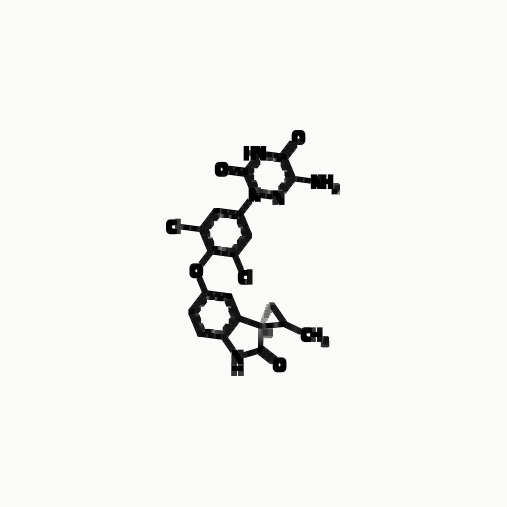 CC1C[C@@]12C(=O)Nc1ccc(Oc3c(Cl)cc(-n4nc(N)c(=O)[nH]c4=O)cc3Cl)cc12